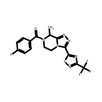 CC1c2nnc(-c3nc(C(F)(F)F)ns3)n2CCN1C(=O)c1ccc(F)cc1